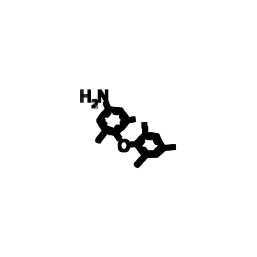 Cc1cc(C)c(Oc2c(C)cc(N)cc2C)c(C)c1